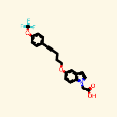 O=C(O)Cn1ccc2cc(OCCCC#Cc3ccc(OC(F)(F)F)cc3)ccc21